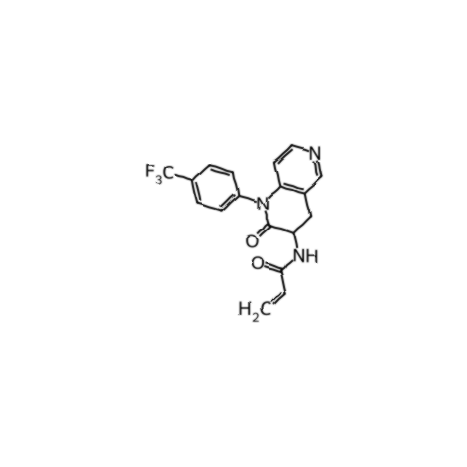 C=CC(=O)NC1Cc2cnccc2N(c2ccc(C(F)(F)F)cc2)C1=O